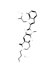 COc1cccc2cc(-c3nc4cc5c(nc4n3C)CCN(C[C@H](N)CF)C5=O)n(CC(F)F)c12